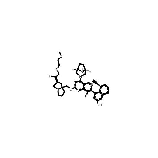 C#Cc1cccc2cc(O)cc(-c3ncc4c(N5C[C@H]6CC[C@@H](C5)N6)nc(OCC56CCCN5CC(=C(F)COCCOC)C6)nc4c3F)c12